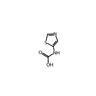 O=C(O)Nc1cncs1